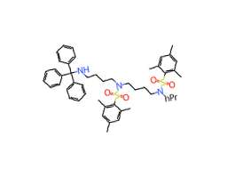 CCCN(CCCCN(CCCCNC(c1ccccc1)(c1ccccc1)c1ccccc1)S(=O)(=O)c1c(C)cc(C)cc1C)S(=O)(=O)c1c(C)cc(C)cc1C